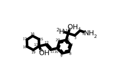 [2H]C(O)(CCN)c1cccc(/C=C/C2(O)CCCCC2)c1